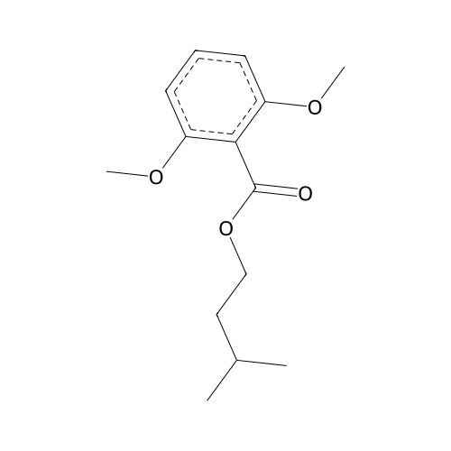 COc1cccc(OC)c1C(=O)OCCC(C)C